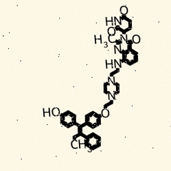 CCC(=C(c1ccc(O)cc1)c1ccc(OCCN2CCN(CCNc3cccc4c(=O)n(C5CCC(=O)NC5=O)c(C)nc34)CC2)cc1)c1ccccc1